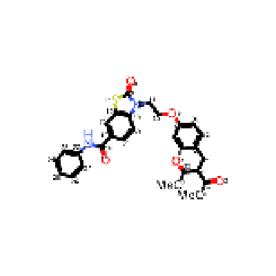 COC(=O)C(Cc1ccc(OCCn2c(=O)sc3cc(C(=O)Nc4ccccc4)ccc32)cc1)C(=O)OC